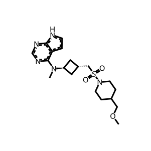 COCC1CCN(S(=O)(=O)C[C@H]2C[C@H](N(C)c3ncnc4[nH]ccc34)C2)CC1